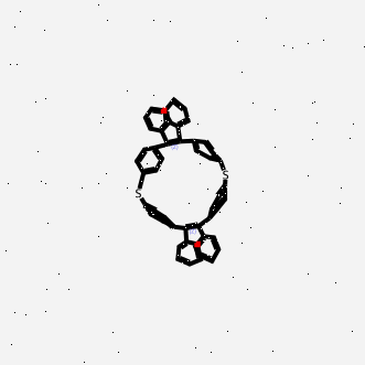 c1ccc(/C2=C(\c3ccccc3)c3ccc(cc3)Sc3ccc(cc3)/C(c3ccccc3)=C(/c3ccccc3)c3ccc(cc3)Sc3ccc2cc3)cc1